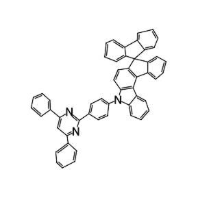 c1ccc(-c2cc(-c3ccccc3)nc(-c3ccc(-n4c5ccccc5c5c6c(ccc54)C4(c5ccccc5-c5ccccc54)c4ccccc4-6)cc3)n2)cc1